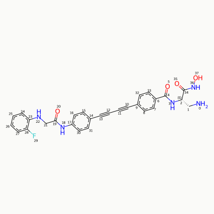 NC[C@H](NC(=O)c1ccc(C#CC#Cc2ccc(NC(=O)CNc3ccccc3F)cc2)cc1)C(=O)NO